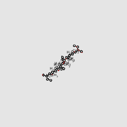 CC1(C)c2cc(-c3cc(-c4ccccc4)cc(-c4cccc(-c5ccccc5)c4)c3)ccc2-c2ccc(-c3ccc4c(c3)C(C)(C)c3cc(-c5cc6c(c7c5oc5ccccc57)-c5cc7c(cc5C6(C)C)-c5c(cc(-c6ccc8c(c6)C(C)(C)c6cc(-c9ccc%10c(c9)C(C)(C)c9cc(-c%11cc(-c%12ccccc%12)cc(-c%12cccc(-c%13ccccc%13)c%12)c%11)ccc9-%10)ccc6-8)c6c5oc5ccccc56)C7(C)C)ccc3-4)cc21